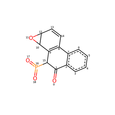 O=C1c2ccccc2C2=C(C3OC3C=C2)C1P(=O)=O